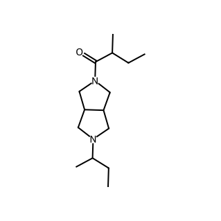 CCC(C)C(=O)N1CC2CN(C(C)CC)CC2C1